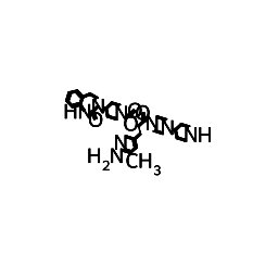 Cc1cc(C[C@@H](OC(=O)N2CCC(N3CCc4ccccc4NC3=O)CC2)C(=O)N2CCN(C3CCNCC3)CC2)cnc1N